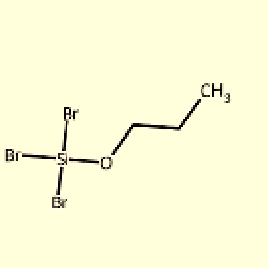 CCCO[Si](Br)(Br)Br